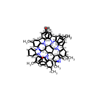 Cc1ccc2c(c1)c1cc(C)ccc1n2-c1c(-c2cc(C)nc(C)c2)c(-n2c3ccc(C)cc3c3cc(C)ccc32)c(-n2c3ccc(C)cc3c3cc(C)ccc32)c(-n2c3ccc(C)cc3c3cc(C)ccc32)c1-c1nc2ccccc2n1-c1ccccc1